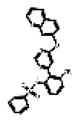 O=S(=O)(Nc1cccc(C(F)(F)F)c1-c1cc(Oc2ccc3cccnc3c2)ncn1)c1ccccc1